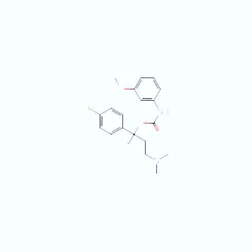 COc1cccc(NC(=O)OC(I)(CCN(C)C)c2ccc(Cl)cc2)c1